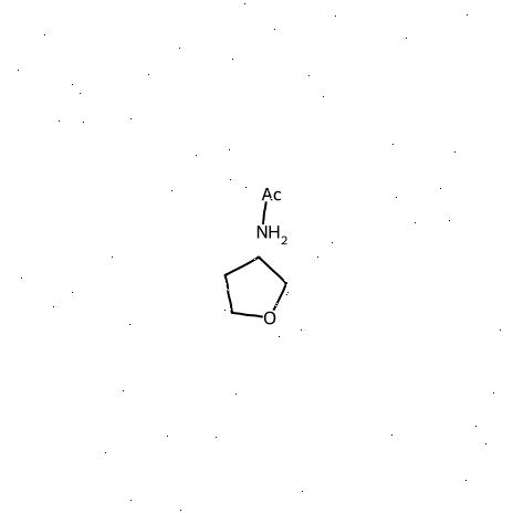 C1CCOC1.CC(N)=O